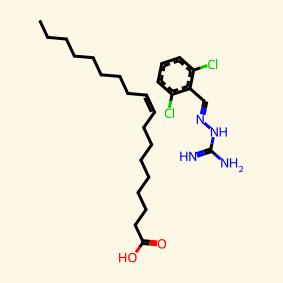 CCCCCCCC/C=C\CCCCCCCC(=O)O.N=C(N)NN=Cc1c(Cl)cccc1Cl